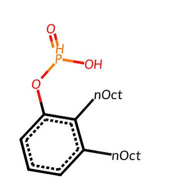 CCCCCCCCc1cccc(O[PH](=O)O)c1CCCCCCCC